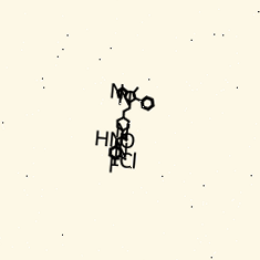 CC1=C(c2ccccc2)C(CCC2CCN(C(=O)Nc3ccc(F)c(Cl)n3)CC2)n2cncc21